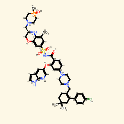 CC1(C)CCC(CN2CCN(c3ccc(C(=O)NS(=O)(=O)c4cc5c(c([N+](=O)[O-])c4)N[C@H](CN4CCP(C)(=O)CC4)CO5)c(Oc4cnc5[nH]ccc5c4)c3)CC2)=C(c2ccc(Cl)cc2)C1